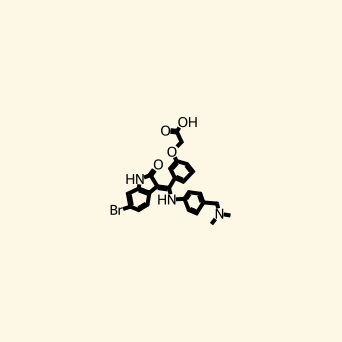 CN(C)Cc1ccc(NC(=C2C(=O)Nc3cc(Br)ccc32)c2cccc(OCC(=O)O)c2)cc1